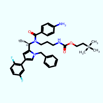 CC(C)(C)[C@H](c1cc(-c2cc(F)ccc2F)cn1Cc1ccccc1)N(CCCNC(=O)OCC[Si](C)(C)C)C(=O)c1ccc(N)cc1